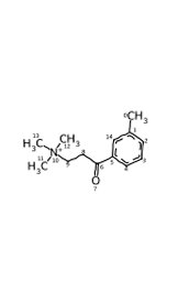 Cc1cccc(C(=O)CC[N+](C)(C)C)c1